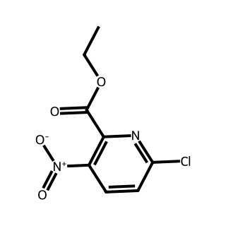 CCOC(=O)c1nc(Cl)ccc1[N+](=O)[O-]